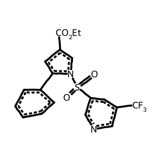 CCOC(=O)c1cc(-c2ccccc2)n(S(=O)(=O)c2cncc(C(F)(F)F)c2)c1